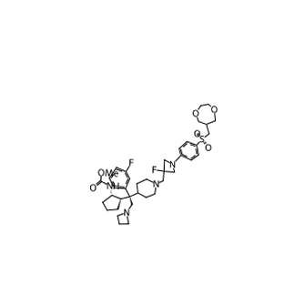 COC(=O)N[C@H]1CCC[C@@H]1[C@](CN1CCC1)(c1cccc(F)c1)C1CCN(CC2(F)CN(c3ccc(S(=O)(=O)CC4COCCOC4)cc3)C2)CC1